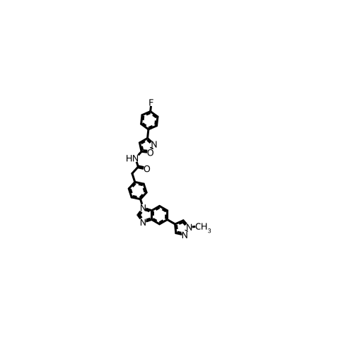 Cn1cc(-c2ccc3c(c2)ncn3-c2ccc(CC(=O)Nc3cc(-c4ccc(F)cc4)no3)cc2)cn1